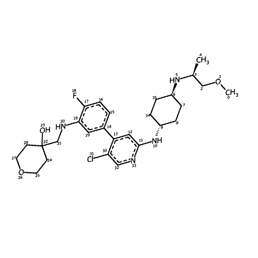 COC[C@H](C)N[C@H]1CC[C@H](Nc2cc(-c3ccc(F)c(NCC4(O)CCOCC4)c3)c(Cl)cn2)CC1